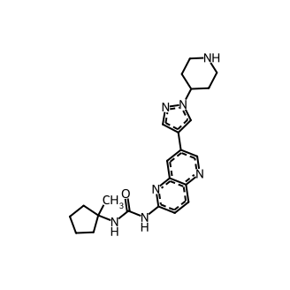 CC1(NC(=O)Nc2ccc3ncc(-c4cnn(C5CCNCC5)c4)cc3n2)CCCC1